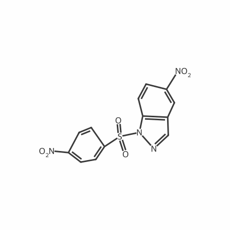 O=[N+]([O-])c1ccc(S(=O)(=O)n2ncc3cc([N+](=O)[O-])ccc32)cc1